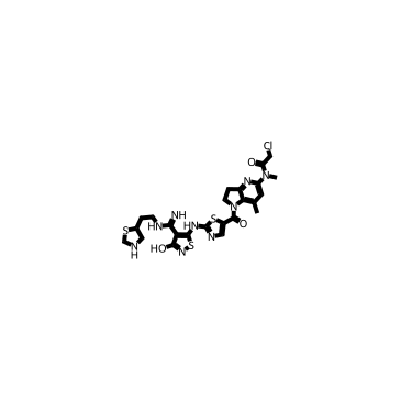 Cc1cc(N(C)C(=O)CCl)nc2c1N(C(=O)c1cnc(Nc3snc(O)c3C(=N)NCCC3CNCS3)s1)CC2